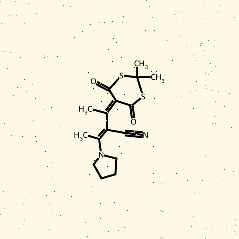 CC(=C1C(=O)SC(C)(C)SC1=O)/C(C#N)=C(\C)N1CCCC1